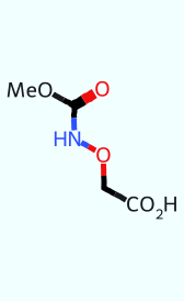 COC(=O)NOCC(=O)O